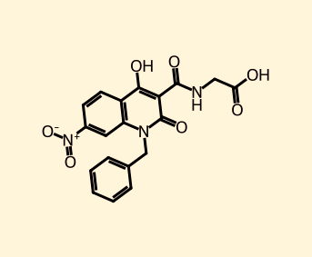 O=C(O)CNC(=O)c1c(O)c2ccc([N+](=O)[O-])cc2n(Cc2ccccc2)c1=O